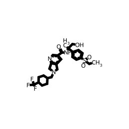 CCS(=O)(=O)c1ccc(C(C)(CO)NC(=O)c2cnc3c(c2)CN(CC2CCC(C(F)(F)F)CC2)C3)cc1